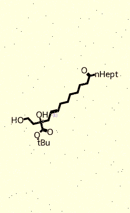 CCCCCCCC(=O)CCCCCC/C=C/C[C@@](O)(CCO)C(=O)OC(C)(C)C